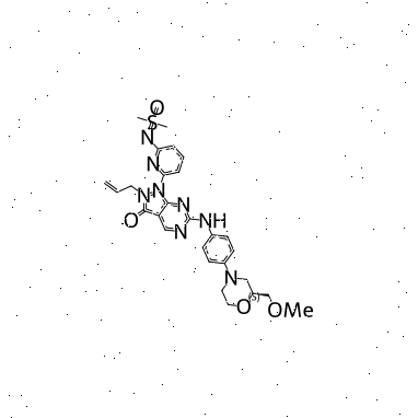 C=CCn1c(=O)c2cnc(Nc3ccc(N4CCO[C@H](COC)C4)cc3)nc2n1-c1cccc(N=S(C)(C)=O)n1